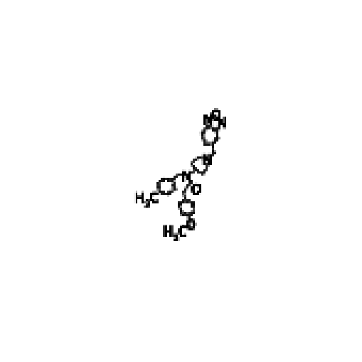 COc1ccc(CC(=O)N(Cc2ccc(C)cc2)C2CCN(Cc3ccc4nonc4c3)CC2)cc1